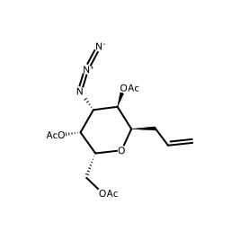 C=CC[C@H]1O[C@H](COC(C)=O)[C@H](OC(C)=O)[C@H](N=[N+]=[N-])[C@H]1OC(C)=O